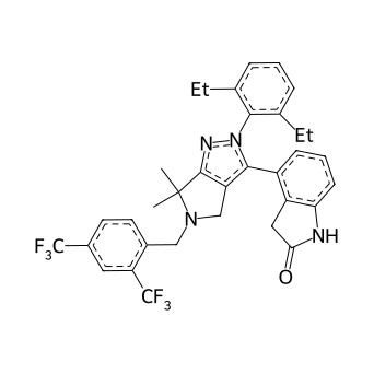 CCc1cccc(CC)c1-n1nc2c(c1-c1cccc3c1CC(=O)N3)CN(Cc1ccc(C(F)(F)F)cc1C(F)(F)F)C2(C)C